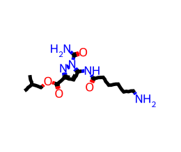 CC(C)COC(=O)c1cc(NC(=O)CCCCCN)n(C(N)=O)n1